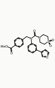 COC(=O)c1ccc(CN(C(=O)N2CCS(=O)(=O)CC2)c2cccc(-c3ccoc3)c2)cc1